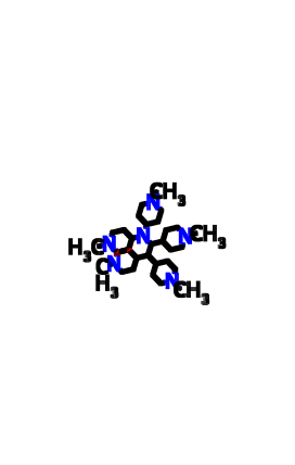 CN1CCC(C(C2CCN(C)CC2)C(C2CCN(C)CC2)N(C2CCN(C)CC2)C2CCN(C)CC2)CC1